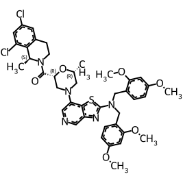 COc1ccc(CN(Cc2ccc(OC)cc2OC)c2nc3cncc(N4C[C@@H](C)O[C@@H](C(=O)N5CCc6cc(Cl)cc(Cl)c6[C@@H]5C)C4)c3s2)c(OC)c1